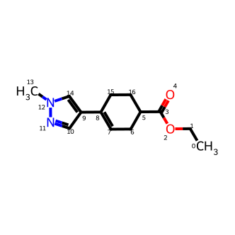 CCOC(=O)C1CC=C(c2cnn(C)c2)CC1